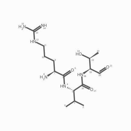 CC(C)[C@H](NC(=O)[C@@H](N)CCCNC(=N)N)C(=O)N[C@H]([C]=O)[C@H](C)O